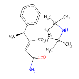 C[C@H](/C(=C/C(N)=O)C(=O)O)c1ccccc1.C[Si](C)(C)N[Si](C)(C)C